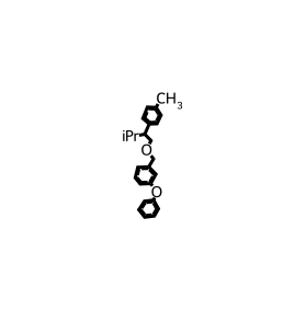 Cc1ccc(C(COCc2cccc(Oc3ccccc3)c2)C(C)C)cc1